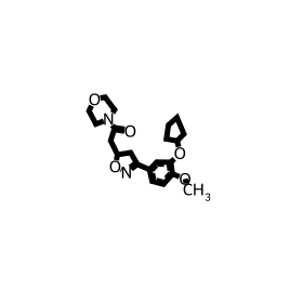 COc1ccc(C2=NOC(CC(=O)N3CCOCC3)C2)cc1OC1CCCC1